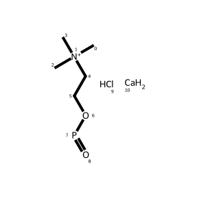 C[N+](C)(C)CCOP=O.Cl.[CaH2]